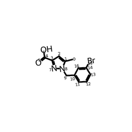 Cc1cc(C(=O)O)nn1Cc1cccc(Br)c1